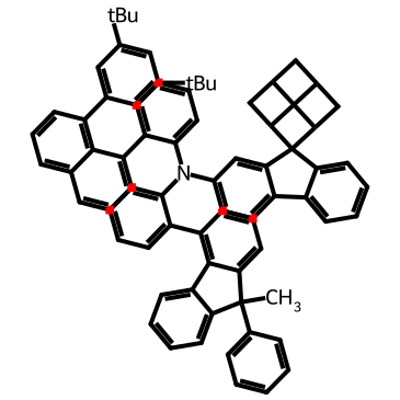 CC(C)(C)c1cc(-c2cccc3cccc(-c4ccccc4N(c4ccc5c(c4)C4(c6ccccc6-5)C5CC6CC7CC4C675)c4ccccc4-c4cccc5c4-c4ccccc4C5(C)c4ccccc4)c23)cc(C(C)(C)C)c1